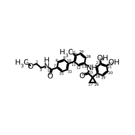 COCCNC(=O)c1ccc(-c2cc(NC(=O)C3(c4ccc(O)c(O)c4)CC3)ccc2C)cc1